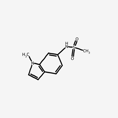 Cn1ccc2ccc(NS(C)(=O)=O)cc21